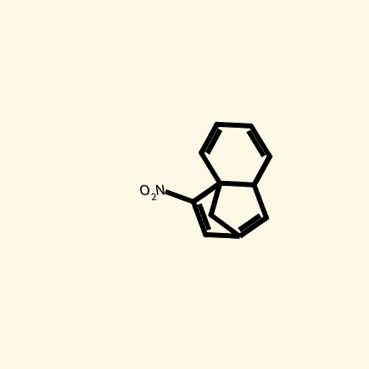 O=[N+]([O-])C1=CC2=CC3C=CC=CC13C2